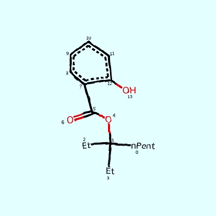 CCCCCC(CC)(CC)OC(=O)c1ccccc1O